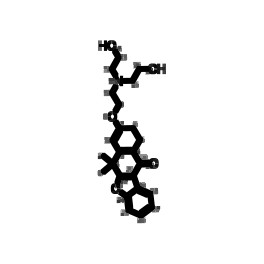 CC1(C)C2=C(CCC(OCCN(CCO)CCO)=C2)C(=O)c2c1oc1ccccc21